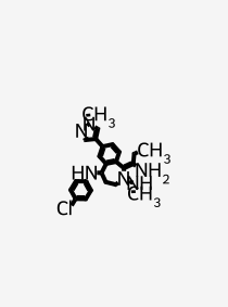 CC/C(N)=C1\c2ccc(-c3cnn(C)c3)cc2C(Nc2ccc(Cl)cc2)CCN1NC